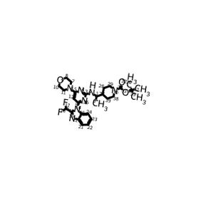 CC(Nc1nc(N2CCOCC2)cc(-n2c(C(F)F)nc3ccccc32)n1)C1CCN(C(=O)OC(C)(C)C)CC1